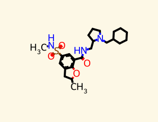 CNS(=O)(=O)c1cc2c(c(C(=O)NCC3CCCN3CC3CCCCC3)c1)OC(C)C2